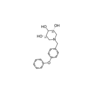 OC1[C@H](O)CN(Cc2ccc(Oc3ccccc3)cc2)C[C@@H]1O